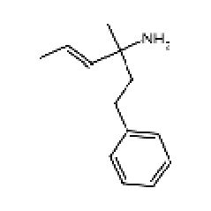 CC=CC(C)(N)CCc1ccccc1